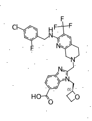 O=C(O)c1ccc2nc(CN3CCc4cc(C(F)(F)F)c(NCc5ccc(Cl)cc5F)nc4C3)n(C[C@@H]3CCO3)c2c1